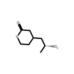 C[C@H](CC1CCOC(=O)C1)[N+](=O)[O-]